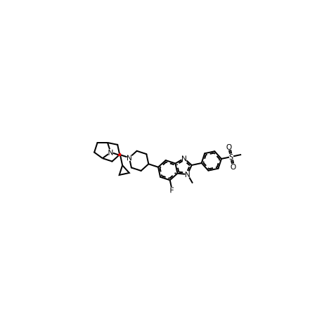 Cn1c(-c2ccc(S(C)(=O)=O)cc2)nc2cc(C3CCN(C4CC5CCC(C4)N5CC4CC4)CC3)cc(F)c21